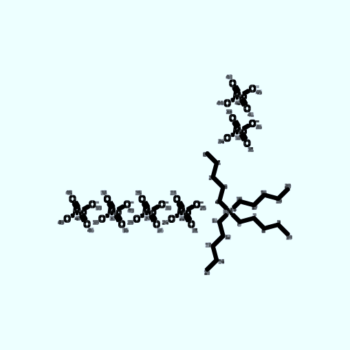 CCCCC[N+](CCCCC)(CCCCC)CCCCC.[O]=[Mo](=[O])([O-])[O-].[O]=[Mo](=[O])([O-])[O-].[O]=[Mo](=[O])([O-])[O-].[O]=[Mo](=[O])([O-])[O-].[O]=[Mo](=[O])([O-])[O-].[O]=[Mo](=[O])([O-])[O-]